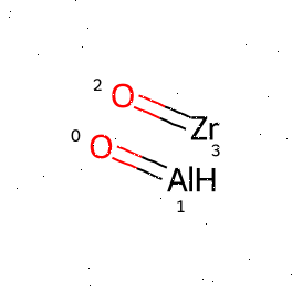 [O]=[AlH].[O]=[Zr]